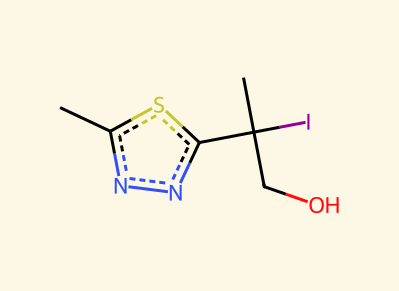 Cc1nnc(C(C)(I)CO)s1